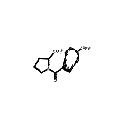 COc1ccc(C(=O)N2CCCC2C(=O)O)cc1